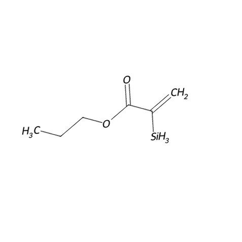 C=C([SiH3])C(=O)OCCC